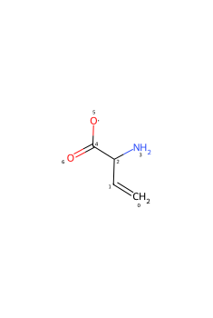 C=CC(N)C([O])=O